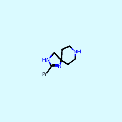 CC(C)C1=NC2(CCNCC2)CN1